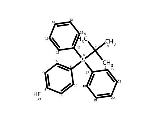 CC(C)(C)S(c1ccccc1)(c1ccccc1)c1ccccc1.F